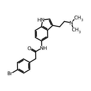 CN(C)CCc1c[nH]c2ccc(NC(=O)Cc3ccc(Br)cc3)cc12